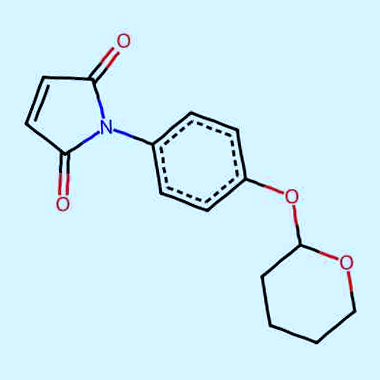 O=C1C=CC(=O)N1c1ccc(OC2CCCCO2)cc1